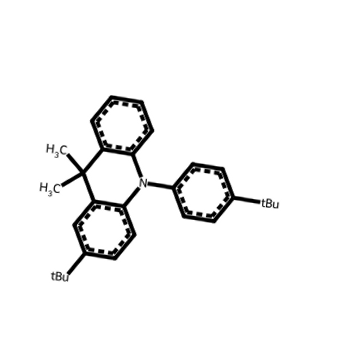 CC(C)(C)c1ccc(N2c3ccccc3C(C)(C)c3cc(C(C)(C)C)ccc32)cc1